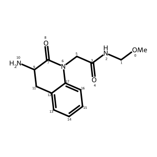 COCNC(=O)CN1C(=O)C(N)Cc2ccccc21